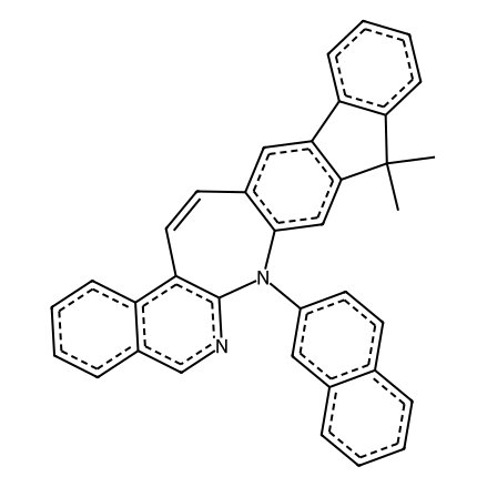 CC1(C)c2ccccc2-c2cc3c(cc21)N(c1ccc2ccccc2c1)c1ncc2ccccc2c1C=C3